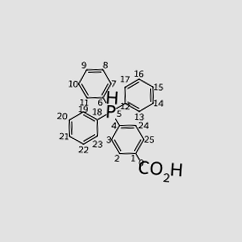 O=C(O)c1ccc([PH](c2ccccc2)(c2ccccc2)c2ccccc2)cc1